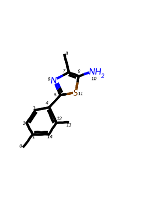 Cc1ccc(-c2nc(C)c(N)s2)c(C)c1